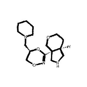 C1CCN(C[C@@H]2CON=C([C@@]34CNC[C@@H]3CCOC4)O2)CC1